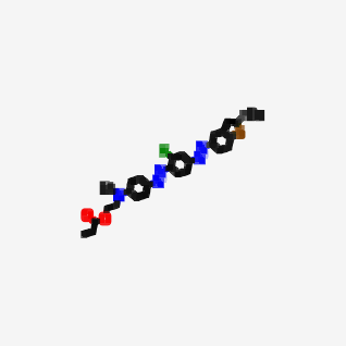 C=CC(=O)OCCN(CC)c1ccc(/N=N/c2ccc(/N=N/c3ccc4sc(CCCC)cc4c3)cc2F)cc1